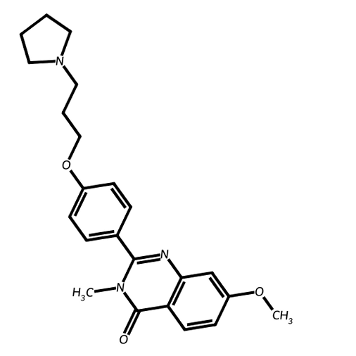 COc1ccc2c(=O)n(C)c(-c3ccc(OCCCN4CCCC4)cc3)nc2c1